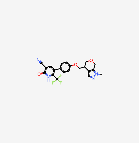 Cn1ncc2c1COCC2COc1ccc(-c2cc(C#N)c(=O)[nH]c2C(F)(F)F)cc1